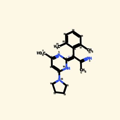 CC(=N)/C(=C1/N=C(C(=O)O)C=C(N2CCCC2)N1)c1c(C)cccc1C